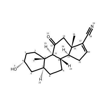 C[C@]12CC[C@@H](O)C[C@@H]1CC[C@@H]1[C@@H]2C(=O)C[C@]2(C)C(C#N)=CC[C@@H]12